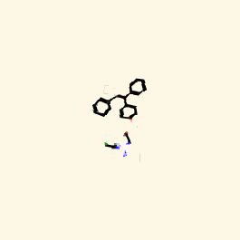 CC/C(=C(\c1ccccc1)c1ccc(OCCN(C)C(CC)(CC)CBr)cc1)c1ccccc1